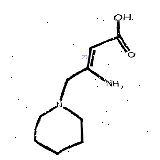 N/C(=C\C(=O)O)CN1CCCCC1